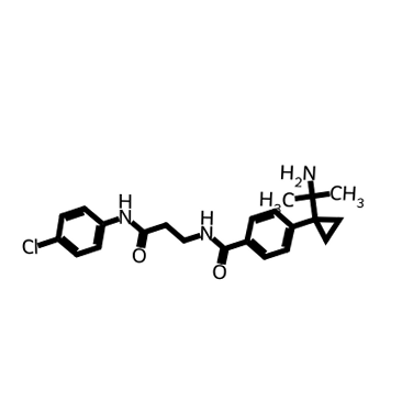 CC(C)(N)C1(c2ccc(C(=O)NCCC(=O)Nc3ccc(Cl)cc3)cc2)CC1